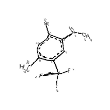 CNc1cc(C(F)(F)F)c(C)cc1Br